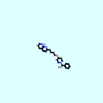 CC(=O)[C@H](c1ccccc1)N1CCC(OCCCCc2ccc3c(n2)NCCC3)CC1